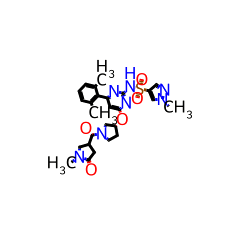 Cc1cccc(C)c1-c1cc(OC2CCN(C(=O)C3CC(=O)N(C)C3)C2)nc(NS(=O)(=O)c2cnn(C)c2)n1